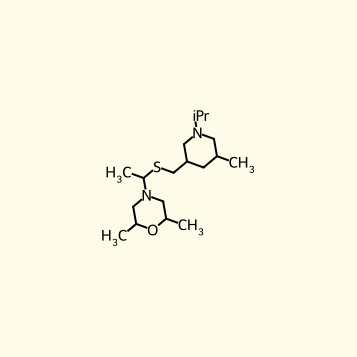 CC1CC(CSC(C)N2CC(C)OC(C)C2)CN(C(C)C)C1